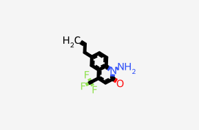 C=CCc1ccc2c(c1)c(C(F)(F)F)cc(=O)n2N